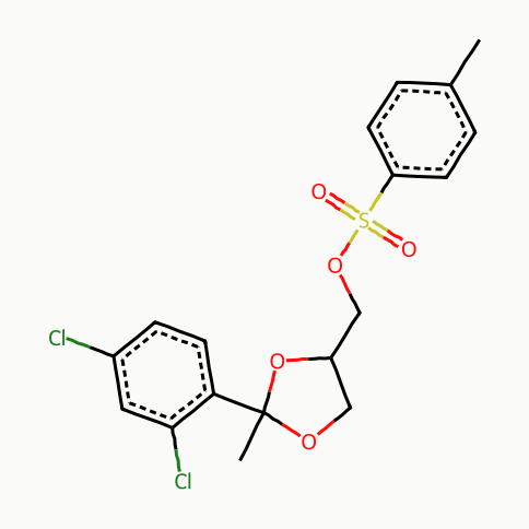 Cc1ccc(S(=O)(=O)OCC2COC(C)(c3ccc(Cl)cc3Cl)O2)cc1